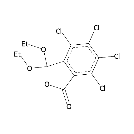 CCOC1(OCC)OC(=O)c2c(Cl)c(Cl)c(Cl)c(Cl)c21